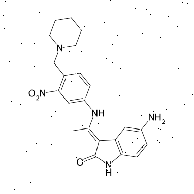 CC(Nc1ccc(CN2CCCCC2)c([N+](=O)[O-])c1)=C1C(=O)Nc2ccc(N)cc21